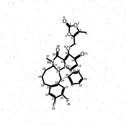 Cc1oc(=O)oc1COc1c2n(ccc1=O)N1C(CCCc3cc(F)c(F)cc3[C@H]1c1ccccc1)N(C)C2=O